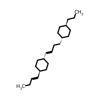 CC/C=C/[C@H]1CC[C@H](/C=C/CC[C@H]2CC[C@H](CCC)CC2)CC1